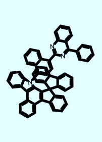 c1ccc(-c2nc(-c3ccc(-n4c5ccccc5c5c6ccccc6c6c(c54)C4(c5ccccc5-c5ccccc54)c4ccccc4-6)c4ccccc34)nc3ccccc23)cc1